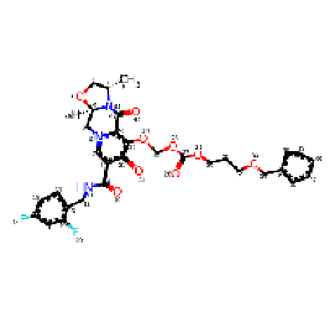 C[C@H]1CO[C@@H]2Cn3cc(C(=O)NCc4ccc(F)cc4F)c(=O)c(OCOC(=O)OCCCOCc4ccccc4)c3C(=O)N12